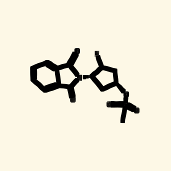 CS(=O)(=O)O[C@@H]1CC(F)[C@@H](N2C(=O)c3ccccc3C2=O)C1